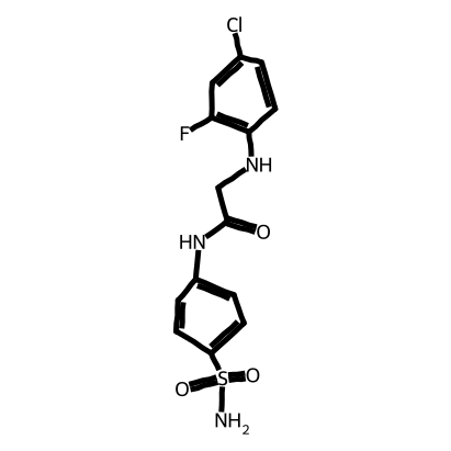 NS(=O)(=O)c1ccc(NC(=O)CNc2ccc(Cl)cc2F)cc1